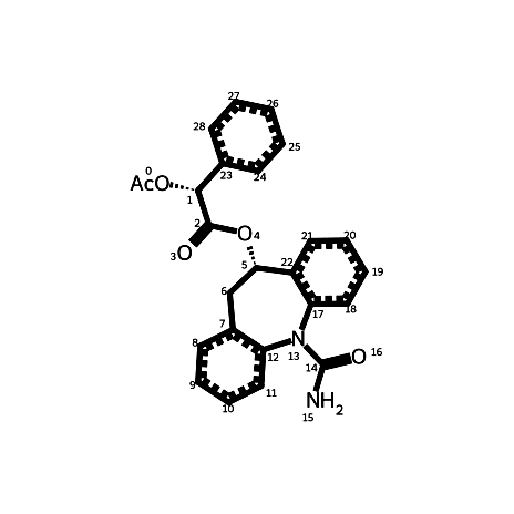 CC(=O)O[C@@H](C(=O)O[C@H]1Cc2ccccc2N(C(N)=O)c2ccccc21)c1ccccc1